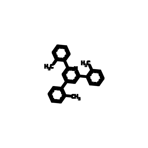 Cc1ccccc1-c1cc(-c2ccccc2C)nc(-c2ccccc2C)c1